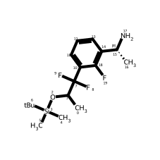 CC(O[Si](C)(C)C(C)(C)C)C(F)(F)c1cccc([C@@H](C)N)c1F